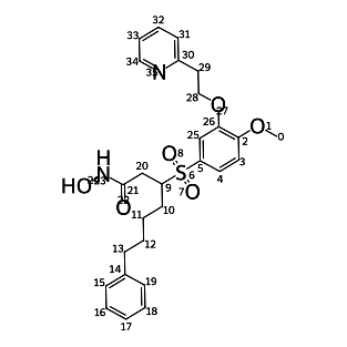 COc1ccc(S(=O)(=O)C(CCCCc2ccccc2)CC(=O)NO)cc1OCCc1ccccn1